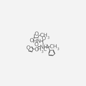 C[C@@H]1OCC(=O)[C@H]1NC(=O)[C@H](CC(C)(C)c1ccccc1)NC(=O)Oc1ccoc1